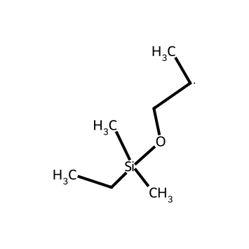 C[CH]CO[Si](C)(C)CC